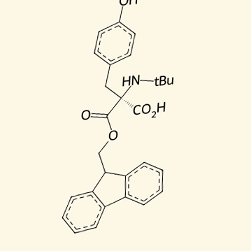 CC(C)(C)N[C@@](Cc1ccc(O)cc1)(C(=O)O)C(=O)OCC1c2ccccc2-c2ccccc21